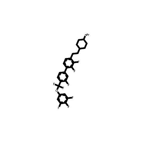 CCCC1CCC(CCc2ccc(-c3ccc(C(F)(F)Oc4cc(F)c(F)c(F)c4)c(F)c3)c(F)c2F)CC1